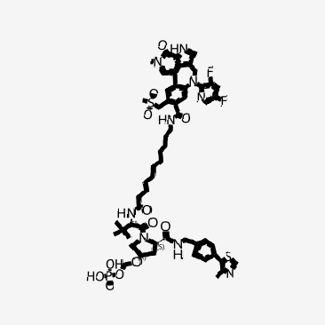 Cc1ncsc1-c1ccc(CNC(=O)[C@@H]2C[C@@H](OCOP(=O)(O)O)CN2C(=O)[C@@H](NC(=O)CCCCCCCCCCNC(=O)c2cc3c(cc2CS(C)(=O)=O)-c2cn(C)c(=O)c4[nH]cc(c24)CN3c2ncc(F)cc2F)C(C)(C)C)cc1